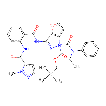 CCN(C(=O)[N+]1(C(=O)OCC(C)(C)C)N=C(NC(=O)c2ccccc2NC(=O)c2ccnn2C)c2occc21)c1ccccc1